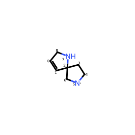 C1=CC2(CC[N]C2)NC1